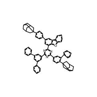 c1ccc(-c2cc(-c3ccccc3)cc(-c3nc(-c4ccc(C56CC7CC(CC(C7)C5)C6)c(-c5ccccc5)c4)nc(-c4cc(-c5ccc(C67CC8CC(CC(C8)C6)C7)cc5)cc5c4oc4ccccc45)n3)c2)cc1